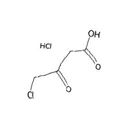 Cl.O=C(O)CC(=O)CCl